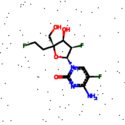 Nc1nc(=O)n([C@@H]2O[C@@](CO)(CCF)[C@@H](O)[C@@H]2F)cc1F